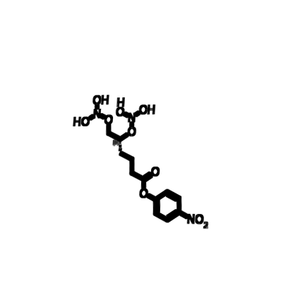 O=C(CCC[C@H](CON(O)O)ON(O)O)Oc1ccc([N+](=O)[O-])cc1